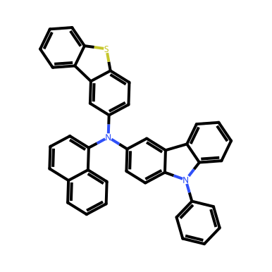 c1ccc(-n2c3ccccc3c3cc(N(c4ccc5sc6ccccc6c5c4)c4cccc5ccccc45)ccc32)cc1